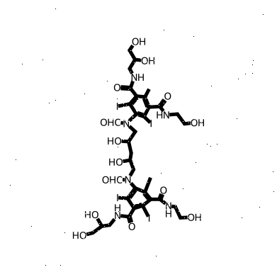 Cc1c(C(=O)NCCO)c(I)c(N(C=O)CC(O)CC(O)CN(C=O)c2c(C)c(C(=O)NCCO)c(I)c(C(=O)NCC(O)CO)c2I)c(I)c1C(=O)NCC(O)CO